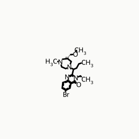 CCCC(c1nc2ccc(Br)cc2c(=O)n1CC)N1CCN(C)C[C@H](COC)C1